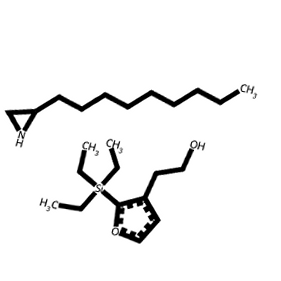 CCCCCCCCCC1CN1.CC[Si](CC)(CC)c1occc1CCO